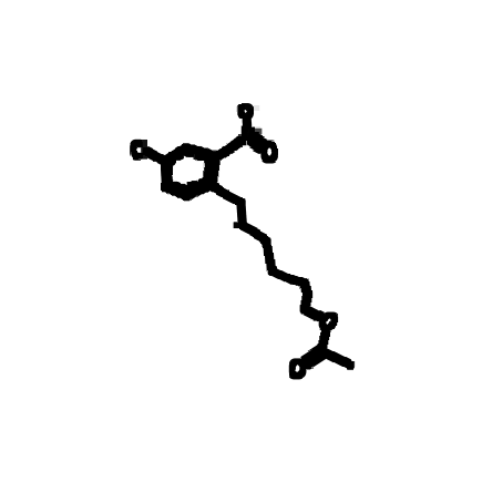 CC(=O)OCCCC[CH]Cc1ccc(Cl)cc1[N+](=O)[O-]